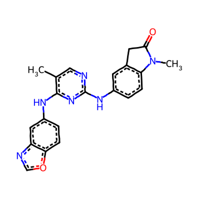 Cc1cnc(Nc2ccc3c(c2)CC(=O)N3C)nc1Nc1ccc2ocnc2c1